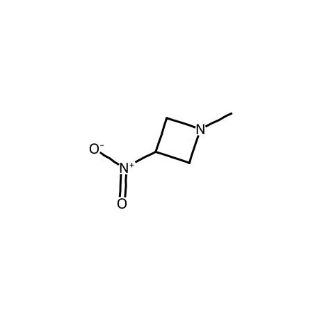 CN1CC([N+](=O)[O-])C1